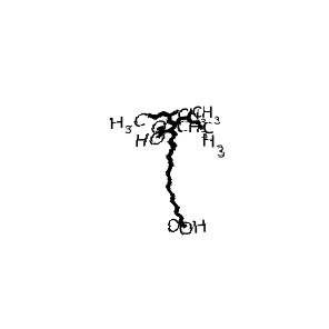 CCCCC(CC)CC(C)(CC(CC)CCCC)C(CCCCCCCCCCCCCC(=O)O)C(=O)O